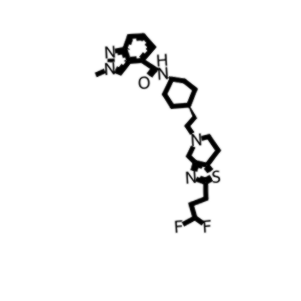 Cn1cc2c(C(=O)N[C@H]3CC[C@H](CCN4CCc5sc(CCC(F)F)nc5C4)CC3)cccc2n1